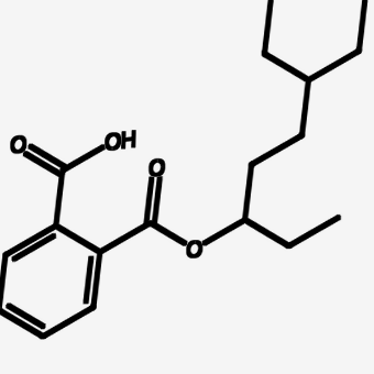 CCC(CC)CCC(CC)OC(=O)c1ccccc1C(=O)O